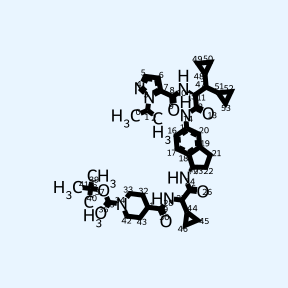 CC(C)n1nccc1C(=O)N[C@H](C(=O)Nc1ccc2c(c1)CC[C@H]2NC(=O)C(NC(=O)C1CCN(C(=O)OC(C)(C)C)CC1)C1CC1)C(C1CC1)C1CC1